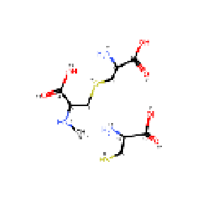 CNC(CSCC(N)C(=O)O)C(=O)O.NC(CS)C(=O)O